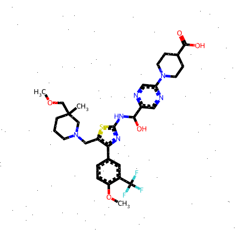 COCC1(C)CCCN(Cc2sc(NC(O)c3cnc(N4CCC(C(=O)O)CC4)cn3)nc2-c2ccc(OC)c(C(F)(F)F)c2)C1